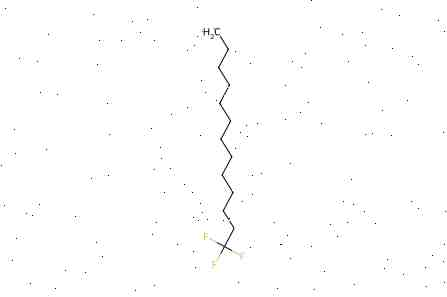 [CH2]CCCCCCCCCCCC(F)(F)F